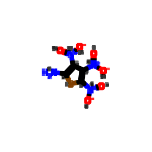 Nc1sc([N+](=O)[O-])c([N+](=O)[O-])c1[N+](=O)[O-]